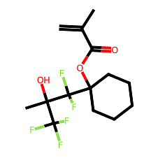 C=C(C)C(=O)OC1(C(F)(F)C(C)(O)C(F)(F)F)CCCCC1